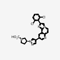 O=C(O)N1CC[C@H](n2cc(-c3cnc4ccn5cc(-c6c(Cl)cccc6Cl)nc5c4c3)cn2)C1